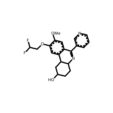 COc1cc2c(cc1OCC(F)F)C1CC(O)CCC1N=C2c1cccnc1